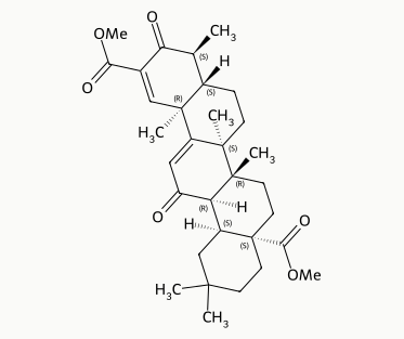 COC(=O)C1=C[C@]2(C)C3=CC(=O)[C@@H]4[C@@H]5CC(C)(C)CC[C@]5(C(=O)OC)CC[C@@]4(C)[C@]3(C)CC[C@H]2[C@H](C)C1=O